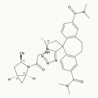 C[C@H](CC1(c2nnnn2C)c2ccc(C(=O)N(C)C)cc2CCc2cc(C(=O)N(C)C)ccc21)NCC(=O)N1[C@H](C#N)C[C@@H]2C[C@@H]21